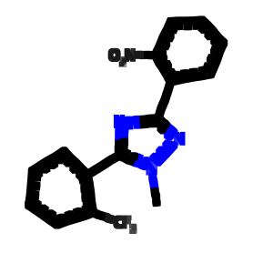 Cn1nc(-c2ccccc2[N+](=O)[O-])nc1-c1ccccc1C(F)(F)F